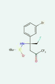 CC(C)(C)[S@@+]([O-])N[C@@](CF)(CC(=O)C(F)(F)F)c1cccc(Br)c1